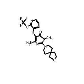 Cn1c(N2CCC3(CCOC3)CC2)nc(N)c(Sc2cccnc2OC(F)(F)F)c1=O